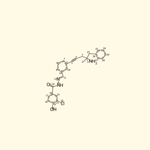 CC(N)(CC#Cc1cccc(/C=N/NC(=O)c2ccc(O)c(Cl)c2)c1)Cc1ccccc1